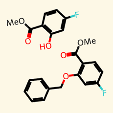 COC(=O)c1ccc(F)cc1O.COC(=O)c1ccc(F)cc1OCc1ccccc1